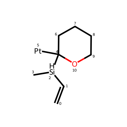 C=C[SiH](C)[C]1([Pt])CCCCO1